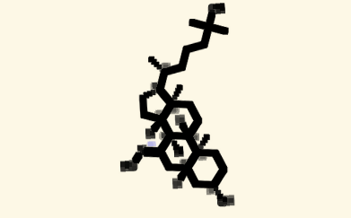 C[C@H](CCCC(C)(C)O)[C@H]1CC[C@H]2[C@@H]3/C(=N/O)C[C@H]4C[C@@H](O)CC[C@]4(C)[C@H]3CC[C@]12C